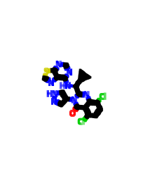 O=c1c2c(Cl)ccc(Cl)c2nc([C@@H](Nc2ncnc3scnc23)C2CC2)n1-c1cn[nH]c1